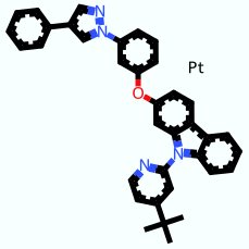 CC(C)(C)c1ccnc(-n2c3ccccc3c3ccc(Oc4cccc(-n5cc(-c6ccccc6)cn5)c4)cc32)c1.[Pt]